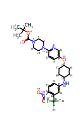 CC(C)(C)OC(=O)N1CCN(c2ccc(O[C@H]3CC[C@H](Nc4ccc([N+](=O)[O-])c(C(F)(F)F)c4)CC3)cn2)CC1